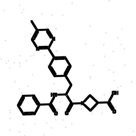 Cc1cnc(-c2ccc(CC(NC(=O)c3ccccc3)C(=O)N3CC(C(=O)O)C3)cc2)nc1